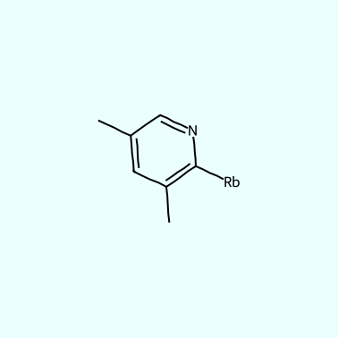 Cc1cn[c]([Rb])c(C)c1